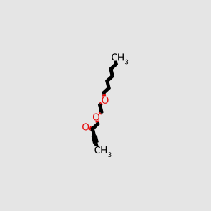 CC#CC(=O)COCCOCCCCCCC